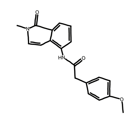 COc1ccc(CC(=O)Nc2cccc3c(=O)n(C)ccc23)cc1